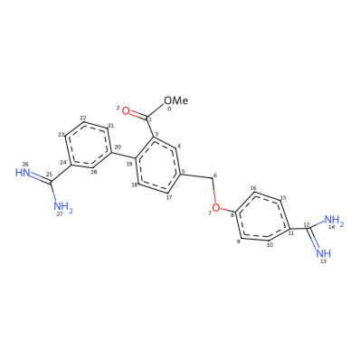 COC(=O)c1cc(COc2ccc(C(=N)N)cc2)ccc1-c1cccc(C(=N)N)c1